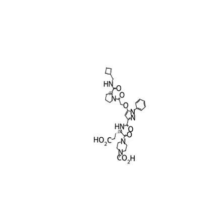 O=C(O)CC[C@H](NC(=O)c1cc(OCC(=O)N2CCC[C@H]2C(=O)NCC2CCC2)n(-c2ccccc2)n1)C(=O)N1CCN(C(=O)O)CC1